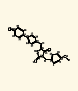 COc1ccc(CN2C(=O)S/C(=C\c3ccc(-c4ccc(Cl)cc4)cc3)C2=O)cc1